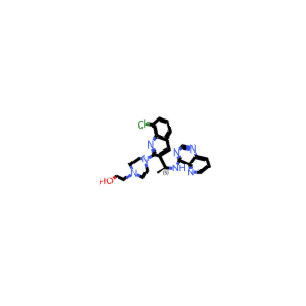 C[C@H](Nc1ncnc2cccnc12)c1cc2cccc(Cl)c2nc1N1CCN(CCO)CC1